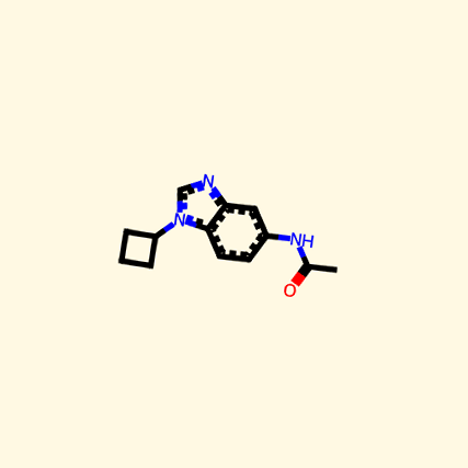 CC(=O)Nc1ccc2c(c1)ncn2C1CCC1